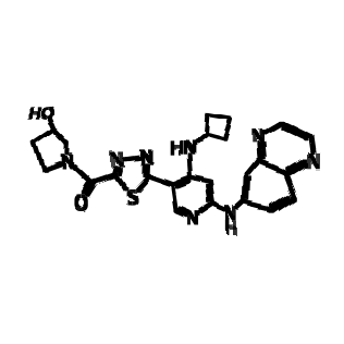 O=C(c1nnc(-c2cnc(Nc3ccc4nccnc4c3)cc2NC2CCC2)s1)N1CCC(O)C1